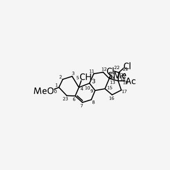 COC1CCC2(C)C(=CCC3C2CCC2(SC)C3CCC2(C(C)=O)C(Cl)Cl)C1